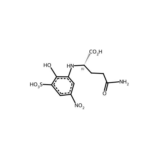 NC(=O)CC[C@H](Nc1cc([N+](=O)[O-])cc(S(=O)(=O)O)c1O)C(=O)O